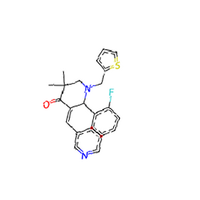 CC1(C)CN(Cc2cccs2)C(c2ccccc2F)/C(=C\c2cccnc2)C1=O